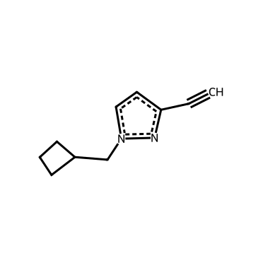 C#Cc1ccn(CC2CCC2)n1